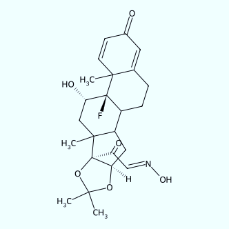 CC1(C)O[C@@H]2CC3C4CCC5=CC(=O)C=CC5(C)[C@@]4(F)[C@@H](O)CC3(C)[C@]2(C(=O)C=NO)O1